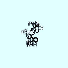 CCCCc1cn(-c2c(CC)cnn2C(C)C)c(=O)n1Cc1cnccc1-c1ccccc1-c1nnn[nH]1